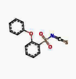 O=S(=O)(N=C=S)c1ccccc1Oc1ccccc1